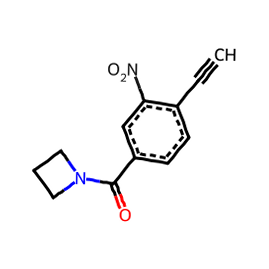 C#Cc1ccc(C(=O)N2CCC2)cc1[N+](=O)[O-]